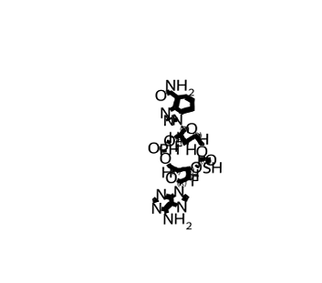 NC(=O)c1cccc2c1nnn2[C@@H]1O[C@@H]2CO[P@](=O)(S)O[C@H]3[C@@H](F)[C@H](n4cnc5c(N)ncnc54)O[C@@H]3CO[PH](=O)O[C@@H]1[C@@H]2F